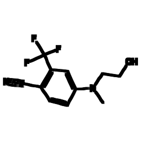 CN(CCO)c1ccc(C#N)c(C(F)(F)F)c1